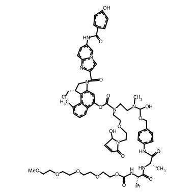 COCCOCCOCCOCCOC(=O)N[C@H](C(=O)N[C@@H](C)C(=O)Nc1ccc(COC(O)N(C)CCN(CCOCCN2C(=O)C=CC2O)C(=O)Oc2cc3c(c4c(C)cccc24)[C@H](CCl)CN3C(=O)c2cn3cc(NC(=O)c4ccc(O)cc4)ccc3n2)cc1)C(C)C